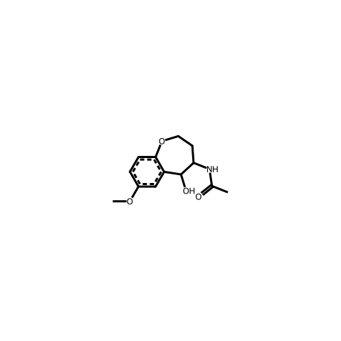 COc1ccc2c(c1)C(O)C(NC(C)=O)CCO2